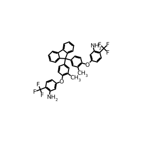 Cc1cc(C2(c3ccc(Oc4ccc(C(F)(F)F)c(N)c4)c(C)c3)c3ccccc3-c3ccccc32)ccc1Oc1ccc(C(F)(F)F)c(N)c1